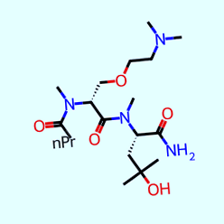 CCCC(=O)N(C)[C@H](COCCN(C)C)C(=O)N(C)[C@@H](CC(C)(C)O)C(N)=O